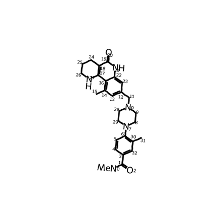 CNC(=O)c1ccc(N2CCN(Cc3cc(C)c4c5c(c(=O)[nH]c4c3)CCCN5)CC2)c(C)c1